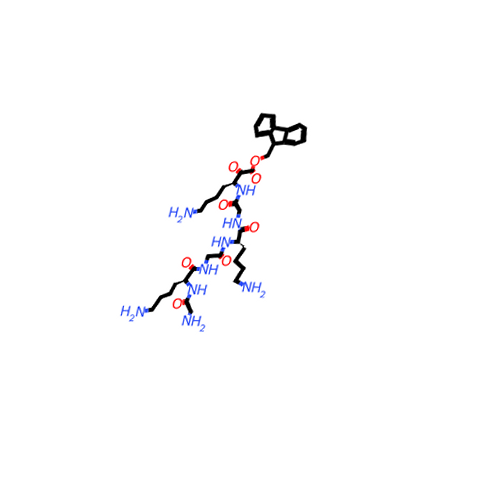 NCCCC[C@H](NC(=O)CN)C(=O)NCC(=O)N[C@@H](CCCCN)C(=O)NCC(=O)N[C@@H](CCCCN)C(=O)C(=O)OCC1c2ccccc2-c2ccccc21